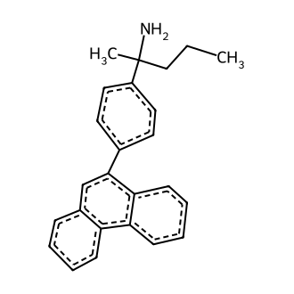 CCCC(C)(N)c1ccc(-c2cc3ccccc3c3ccccc23)cc1